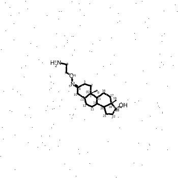 C[C@]12CCC(=NOCCN)CC1CCC1C2CC[C@@]2(C)C1CC[C@H]2O